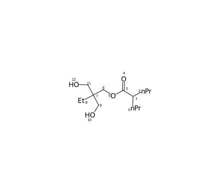 CCCC(CCC)C(=O)OCC(CC)(CO)CO